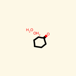 O.O.O=C1CCCCC1